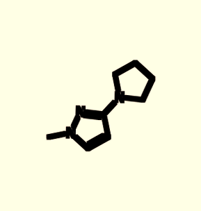 Cn1ccc(N2CCCC2)n1